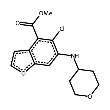 COC(=O)c1c(Cl)c(NC2CCOCC2)cc2occc12